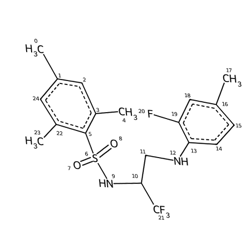 Cc1cc(C)c(S(=O)(=O)NC(CNc2ccc(C)cc2F)C(F)(F)F)c(C)c1